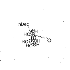 CCCCCCCCCCCCCC[C@@H](O)[C@@H](O)[C@H](CO[C@H]1O[C@H](CO)[C@H](O)[C@H](O)[C@H]1O)NC(=O)CCCCCCCc1ccccc1